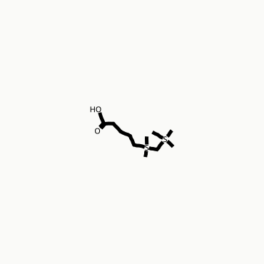 CS(C)(C)CS(C)(C)CCCCC(=O)O